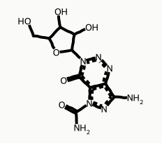 NC(=O)n1nc(N)c2nnn(C3OC(CO)C(O)C3O)c(=O)c21